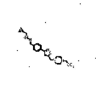 O=C(O)CN1CCN(CC2CC(c3ccc(C=NNCC4CC4)cc3)=NO2)CC1